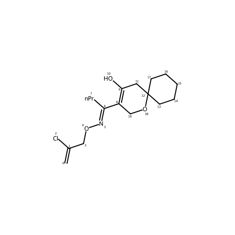 C=C(Cl)CON=C(CCC)C1=C(O)CC2(CCCCC2)OC1